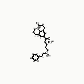 CCN(CCCCC(=O)c1cc2c3c(c1)CCC(=O)N3CCC2)CCc1ccccc1.Cl